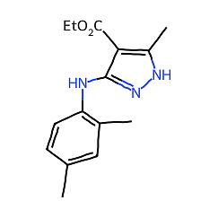 CCOC(=O)c1c(Nc2ccc(C)cc2C)n[nH]c1C